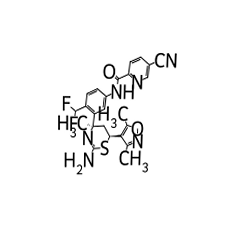 Cc1noc(C)c1[C@@H]1C[C@](C)(c2cc(NC(=O)c3ccc(C#N)cn3)ccc2C(F)F)N=C(N)S1